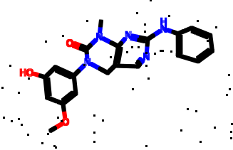 COc1cc(O)cc(N2Cc3cnc(Nc4ccccc4)nc3N(C)C2=O)c1